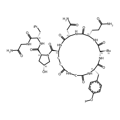 CC[C@H](C)[C@@H]1NC(=O)[C@H](Cc2ccc(OI)cc2)NC(=O)CNC(=O)CC[C@@H](C(=O)N2C[C@H](O)C[C@H]2C(=O)N[C@@H](CC(C)C)C(=O)NCC(N)=O)NC(=O)[C@H](CC(N)=O)NC(=O)[C@H](CCC(N)=O)NC1=O